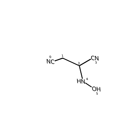 N#CCC(C#N)NO